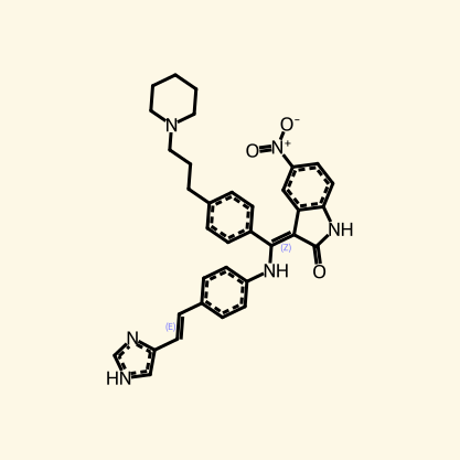 O=C1Nc2ccc([N+](=O)[O-])cc2/C1=C(/Nc1ccc(/C=C/c2c[nH]cn2)cc1)c1ccc(CCCN2CCCCC2)cc1